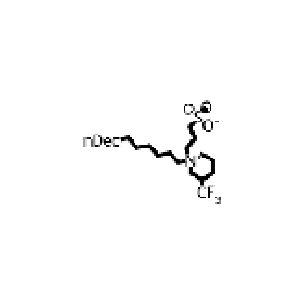 CCCCCCCCCCCCCCCC[N+]1(CCCS(=O)(=O)[O-])CCCC(C(F)(F)F)C1